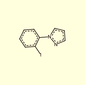 Ic1ccccc1-n1cccn1